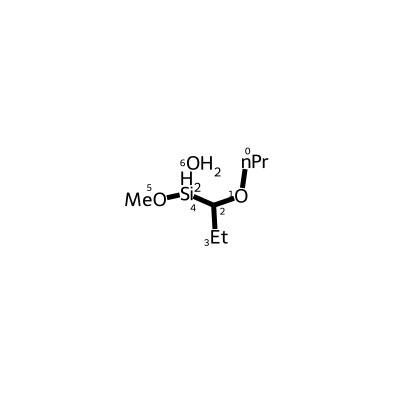 CCCOC(CC)[SiH2]OC.O